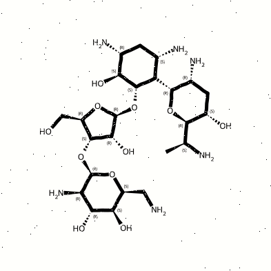 C[C@H](N)[C@H]1O[C@H](C2[C@@H](N)C[C@@H](N)[C@H](O)[C@H]2O[C@@H]2O[C@H](CO)[C@@H](O[C@H]3O[C@@H](CN)[C@@H](O)[C@H](O)[C@H]3N)[C@H]2O)[C@H](N)C[C@@H]1O